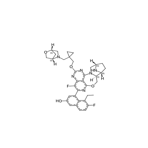 CCc1c(F)ccc2cc(O)cc(-c3nc4c5c(nc(OCC6(CN7C[C@@H]8C[C@H]7CO8)CC6)nc5c3F)N3C[C@@H]5CC[C@@H](N5)[C@H]3CO4)c12